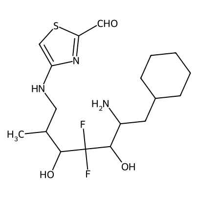 CC(CNc1csc(C=O)n1)C(O)C(F)(F)C(O)C(N)CC1CCCCC1